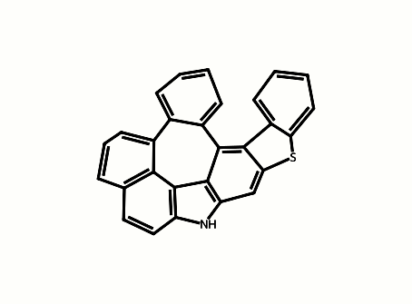 c1ccc2c(c1)-c1cccc3ccc4[nH]c5cc6sc7ccccc7c6c-2c5c4c13